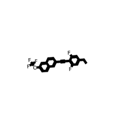 CCc1cc(F)c(C#Cc2ccc3cc(OC(F)(F)F)ccc3c2)c(F)c1